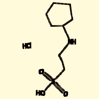 Cl.O=S(=O)(O)CCNC1CCCCC1